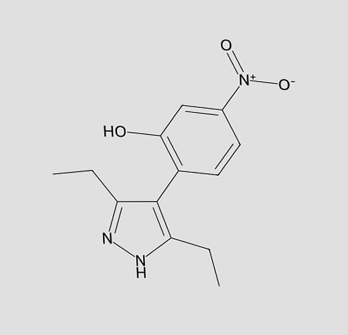 CCc1n[nH]c(CC)c1-c1ccc([N+](=O)[O-])cc1O